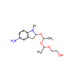 CCN1c2ccc(N)cc2CC1OC(C)OC(C)OCCO